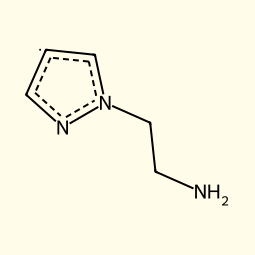 NCCn1c[c]cn1